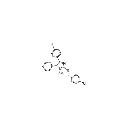 CCCn1c(SCc2ccc(Cl)cc2)nc(-c2ccc(F)cc2)c1-c1ccncc1